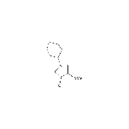 CNC1CN(C2CCCCC2)CC1O